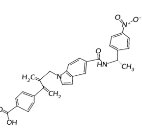 C=C(Cn1ccc2cc(C(=O)N[C@@H](C)c3ccc([N+](=O)[O-])cc3)ccc21)C(=C)c1ccc(C(=O)O)cc1